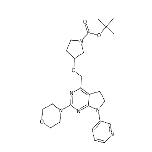 CC(C)(C)OC(=O)N1CCC(OCc2nc(N3CCOCC3)nc3c2CCN3c2cccnc2)C1